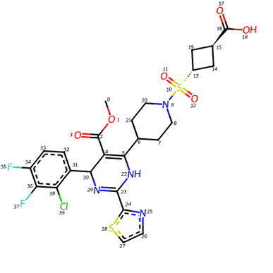 COC(=O)C1=C(C2CCN(S(=O)(=O)[C@H]3C[C@H](C(=O)O)C3)CC2)NC(c2nccs2)=NC1c1ccc(F)c(F)c1Cl